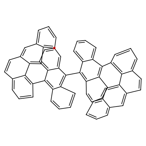 c1ccc2cc3c(ccc4cccc(-c5c6ccccc6c(-c6c7ccccc7c(-c7cccc8ccc9cc%10ccccc%10cc9c78)c7ccccc67)c6ccccc56)c43)cc2c1